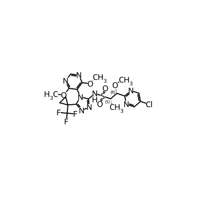 COc1ncnc(OC)c1-n1c(NS(=O)(=O)[C@@H](C)[C@H](OC)c2ncc(Cl)cn2)nnc1C1(C(F)(F)F)CC1